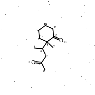 CC(=O)CC(C)C1(C)CCCCC1=O